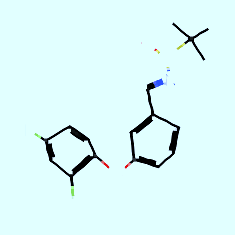 CC(C)(C)[S+]([O-])N=Cc1cccc(Oc2ccc(F)cc2F)c1